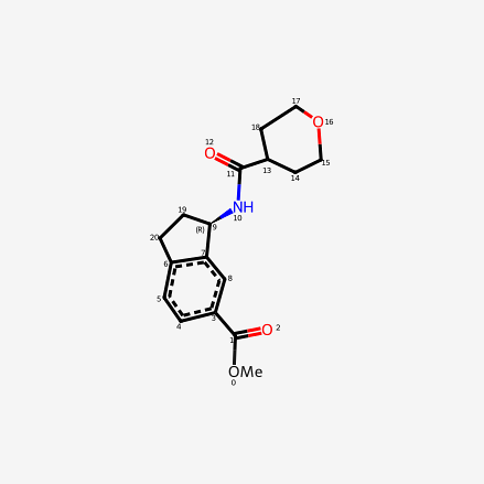 COC(=O)c1ccc2c(c1)[C@H](NC(=O)C1CCOCC1)CC2